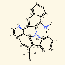 CN(C)c1c2ccccc2cc2c3nccc4cc(C(C)(C)C)c5c6ccccc6n(c12)c5c43